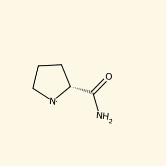 NC(=O)[C@H]1CCC[N]1